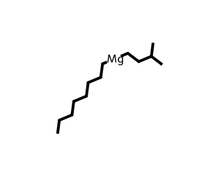 CCCCCCC[CH2][Mg][CH2]CC(C)C